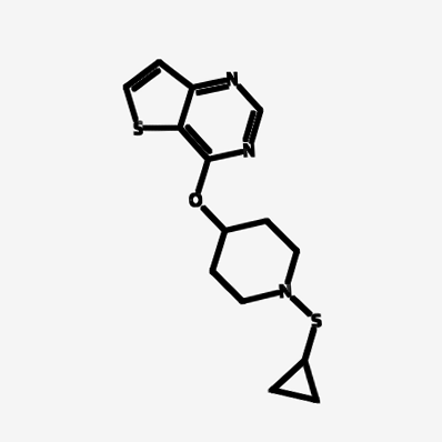 c1nc(OC2CCN(SC3CC3)CC2)c2sccc2n1